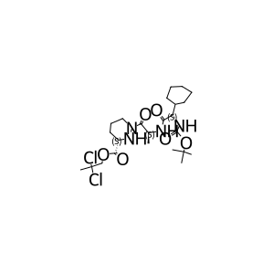 C[C@H](NC(=O)[C@@H](NC(=O)OC(C)(C)C)C1CCCCC1)C(=O)N1CCC[C@@H](C(=O)OCC(C)(Cl)Cl)N1